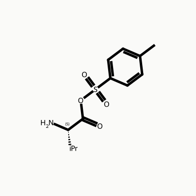 Cc1ccc(S(=O)(=O)OC(=O)[C@@H](N)C(C)C)cc1